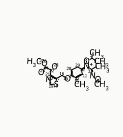 CON=C(C)[N+](OC(C)C)=C1C=C(C)C(OCc2scnc2C(=O)C(=O)OC)=CC1